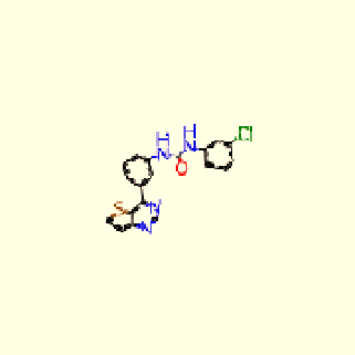 O=C(Nc1cccc(Cl)c1)Nc1cccc(-c2ncnc3ccsc23)c1